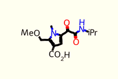 COCc1c(C(=O)O)cc(C(=O)C(=O)NC(C)C)n1C